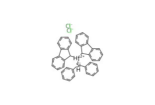 [Cl-].[Cl-].c1ccc([SiH](c2ccccc2)[Hf+2]([CH]2c3ccccc3-c3ccccc32)[CH]2c3ccccc3-c3ccccc32)cc1